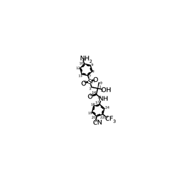 C[C@](O)(CS(=O)(=O)c1ccc(N)cc1)C(=O)Nc1ccc(C#N)c(C(F)(F)F)c1